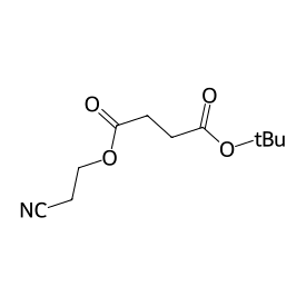 CC(C)(C)OC(=O)CCC(=O)OCCC#N